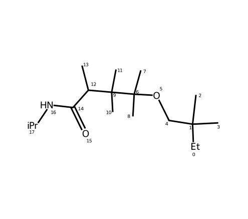 CCC(C)(C)COC(C)(C)C(C)(C)C(C)C(=O)NC(C)C